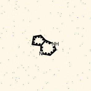 [c]1cnc2cccc-2[nH]1